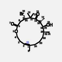 C/C1=C/CCOC(=O)C[C@H](Br)C(C)(C)C(=O)[C@H](C)[C@@H](O)[C@@H](C)CCC1